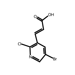 O=C(O)/C=C/c1cc(Br)cnc1Cl